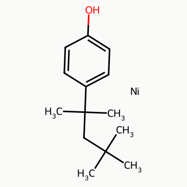 CC(C)(C)CC(C)(C)c1ccc(O)cc1.[Ni]